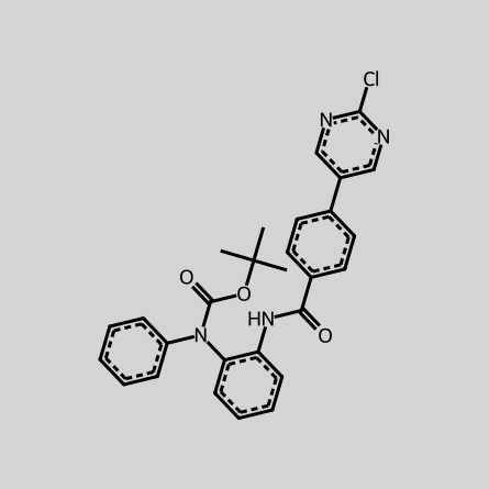 CC(C)(C)OC(=O)N(c1ccccc1)c1ccccc1NC(=O)c1ccc(-c2cnc(Cl)nc2)cc1